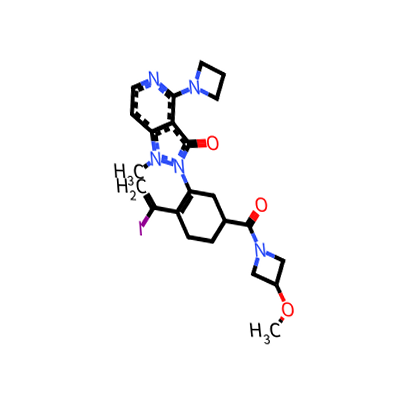 C=C(I)C1=C(n2c(=O)c3c(N4CCC4)nccc3n2C)CC(C(=O)N2CC(OC)C2)CC1